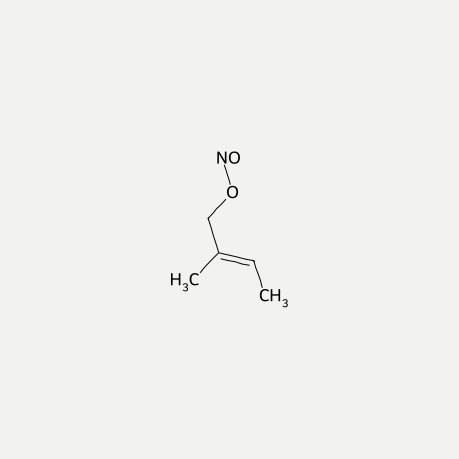 CC=C(C)CON=O